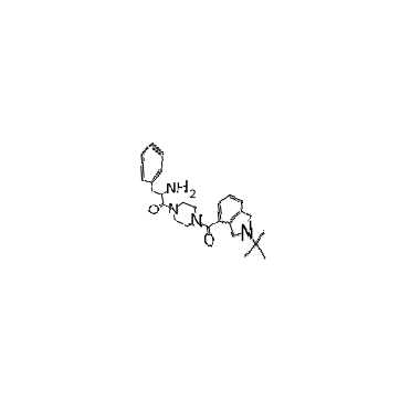 CC(C)(C)N1Cc2cccc(C(=O)N3CCN(C(=O)C(N)Cc4ccccc4)CC3)c2C1